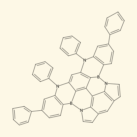 c1ccc(-c2ccc3c(c2)N(c2ccccc2)c2cc4c5c6c2B3n2ccc3cc7ccn(c7c-6c32)B5c2ccc(-c3ccccc3)cc2N4c2ccccc2)cc1